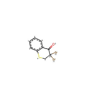 O=C1c2ccccc2SCC1(Br)Br